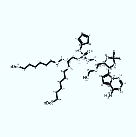 CCCCCCCCCCCCCCCCOC[C@H](COP(=O)(OC[C@@H](OCC#N)[C@H]1OC(C)(C)O[C@H]1c1ccc2c(N)ncnn12)OC1=CC=CC1)OCCCCCCCCCCCCCCCC